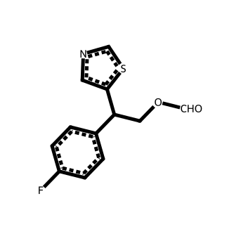 O=COCC(c1ccc(F)cc1)c1cncs1